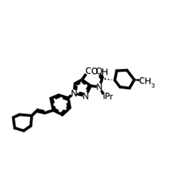 CC(C)N(c1nn(-c2ccc(C=CC3CCCCC3)cc2)cc1C(=O)O)C(=O)[C@H]1CC[C@H](C)CC1